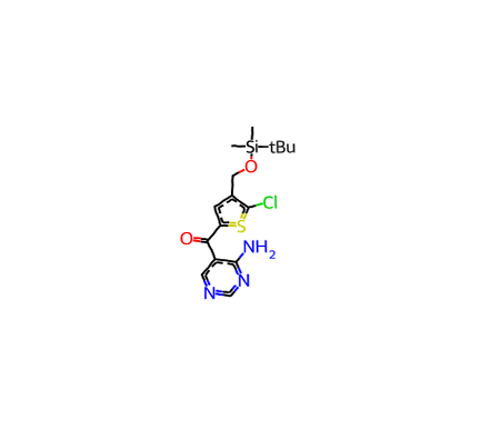 CC(C)(C)[Si](C)(C)OCc1cc(C(=O)c2cncnc2N)sc1Cl